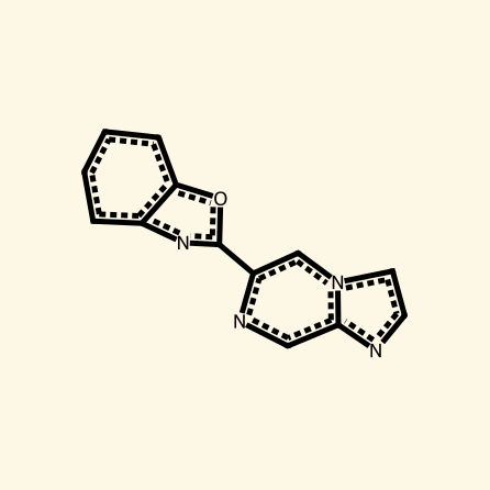 c1ccc2oc(-c3cn4ccnc4cn3)nc2c1